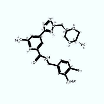 COc1cc(CNC(=O)c2cc(-c3nnn(C[C@@H]4CO[C@@H](C(C)=O)CO4)n3)cc(C)n2)ccc1F